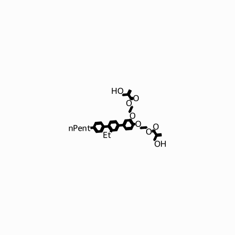 C=C(CO)C(=O)OCCOc1ccc(-c2ccc(-c3ccc(CCCCC)cc3)c(CC)c2)cc1OCCOC(=O)C(=C)CO